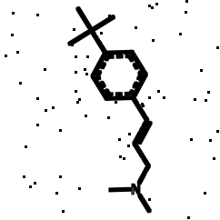 CN(C)C/C=C/c1ccc(C(C)(C)C)cc1